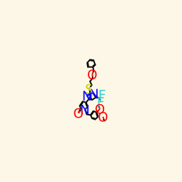 COc1ccc(Cn2cc(-c3cc(C(F)F)nc(SCCCOCc4ccccc4)n3)ccc2=O)cc1OC